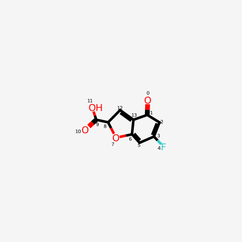 O=C1C=C(F)C=C2OC(C(=O)O)C=C12